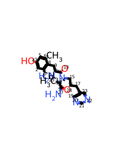 Cc1cc(O)cc(C)c1CC(N)C(=O)N(CCCc1cncnc1)[C@H](C)C(N)=O